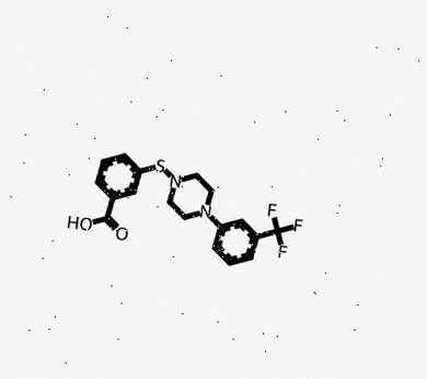 O=C(O)c1cccc(SN2CCN(c3cccc(C(F)(F)F)c3)CC2)c1